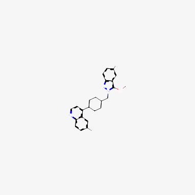 COc1c2cc(Cl)ccc2nn1[C@H](C)C1CCC(c2ccnc3ccc(F)cc23)CC1